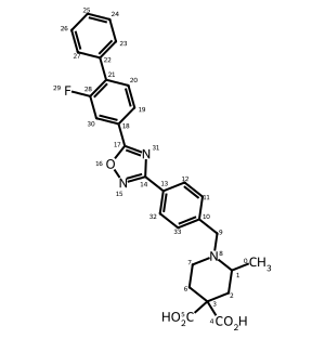 CC1CC(C(=O)O)(C(=O)O)CCN1Cc1ccc(-c2noc(-c3ccc(-c4ccccc4)c(F)c3)n2)cc1